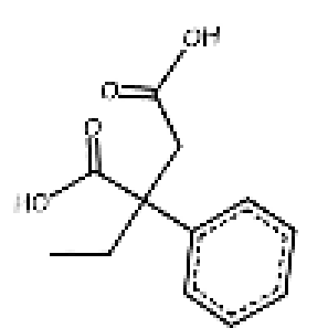 CCC(CC(=O)O)(C(=O)O)c1ccccc1